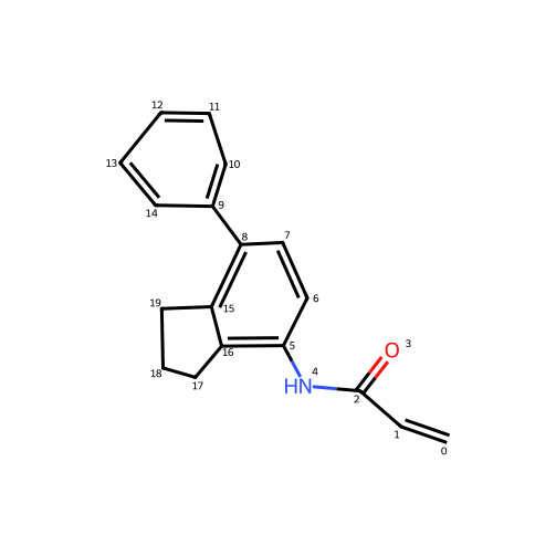 C=CC(=O)Nc1ccc(-c2ccccc2)c2c1CCC2